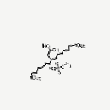 CCCCCCCCCCCCCCCCN(CCCCCCCCCCCCCCCC)CC(O)O.COS(=O)(=O)O